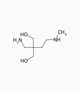 CNCCC(CN)(CO)CO